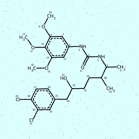 [CH2]C(NC(=O)Nc1cc(OC)c(OC)c(OC)c1)C(C)CCC(O)Cc1ccc(Cl)c(Cl)c1